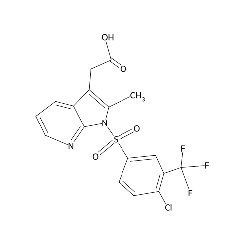 Cc1c(CC(=O)O)c2cccnc2n1S(=O)(=O)c1ccc(Cl)c(C(F)(F)F)c1